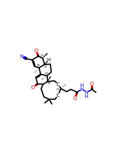 CC(=O)NNC(=O)CC[C@@]1(C)CCC(C)(C)CCC2C(=O)C=C3[C@@]4(C)C=C(C#N)C(=O)[C@@H](C)[C@@H]4CC[C@@]3(C)[C@]2(C)CC1